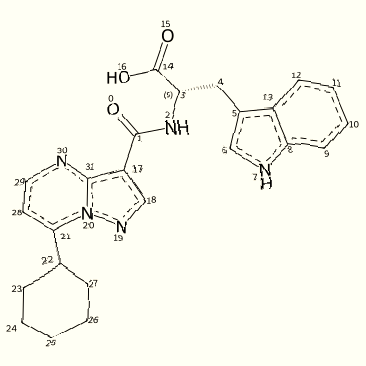 O=C(N[C@@H](Cc1c[nH]c2ccccc12)C(=O)O)c1cnn2c(C3CCCCC3)ccnc12